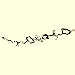 CCCCCC(=O)OCc1ccc(C(=O)NS(=O)(=O)c2ccc(C(=O)NCCc3ccc(Cl)cc3)cc2)cn1